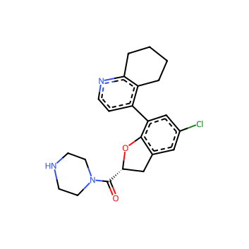 O=C([C@H]1Cc2cc(Cl)cc(-c3ccnc4c3CCCC4)c2O1)N1CCNCC1